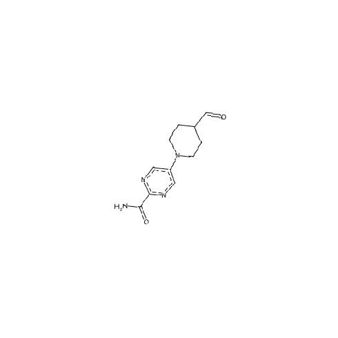 NC(=O)c1ncc(N2CCC(C=O)CC2)cn1